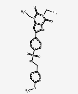 CCn1c(=O)c2[nH]c(-c3ccc(S(=O)(=O)NCc4ccc(OC)nc4)cc3)cc2n(CC)c1=O